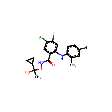 Cc1cc(I)ccc1Nc1cc(F)c(Br)cc1C(=O)NOC(C)(O)C1CC1